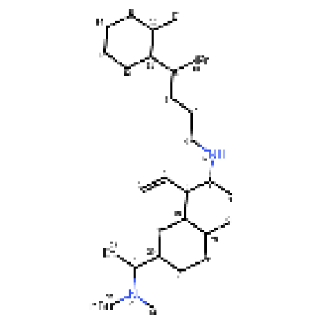 C=CC(C(C)NCCCC(C(C)C)C1CCCCC1C)C1CC(C(CC)N(C)CCCC)CCC1C